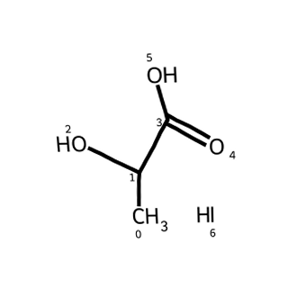 CC(O)C(=O)O.I